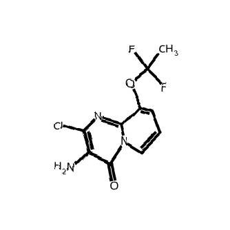 CC(F)(F)Oc1cccn2c(=O)c(N)c(Cl)nc12